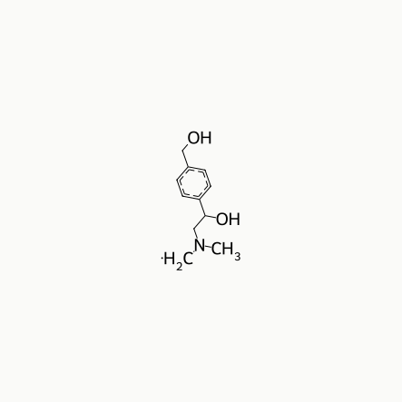 [CH2]N(C)CC(O)c1ccc(CO)cc1